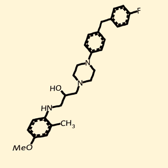 COc1ccc(NCC(O)CN2CCN(c3ccc(Cc4ccc(F)cc4)cc3)CC2)c(C)c1